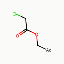 CC(=O)COC(=O)CCl